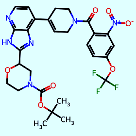 CC(C)(C)OC(=O)N1CCOC(c2nc3c(C4=CCN(C(=O)c5ccc(OC(F)(F)F)cc5[N+](=O)[O-])CC4)ccnc3[nH]2)C1